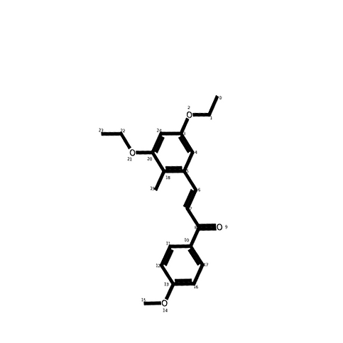 CCOc1cc(/C=C/C(=O)c2ccc(OC)cc2)c(C)c(OCC)c1